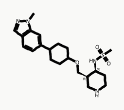 Cn1ncc2ccc(C3CCC(OC[C@@H]4CNCC[C@@H]4NS(C)(=O)=O)CC3)cc21